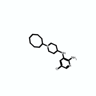 Nc1ncc(Cl)cc1NC1CCN(C2CCCCCCC2)CC1